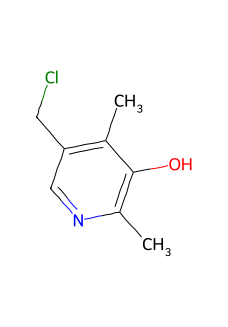 Cc1ncc(CCl)c(C)c1O